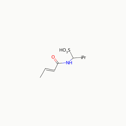 CC=CC(=O)NC(C(C)C)S(=O)(=O)O